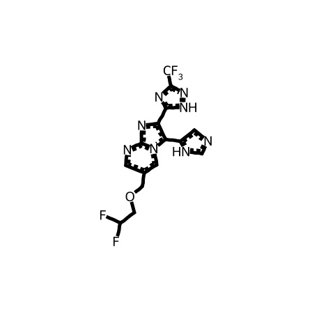 FC(F)COCc1cnc2nc(-c3nc(C(F)(F)F)n[nH]3)c(-c3cnc[nH]3)n2c1